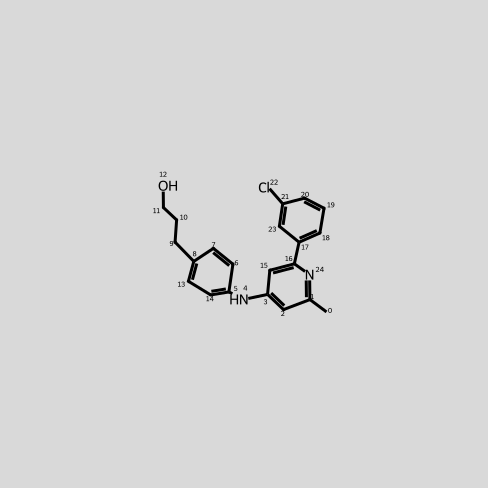 Cc1cc(Nc2ccc(CCCO)cc2)cc(-c2cccc(Cl)c2)n1